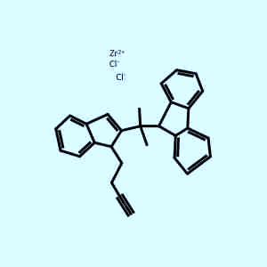 C#CCCC1C(C(C)(C)C2c3ccccc3-c3ccccc32)=Cc2ccccc21.[Cl-].[Cl-].[Zr+2]